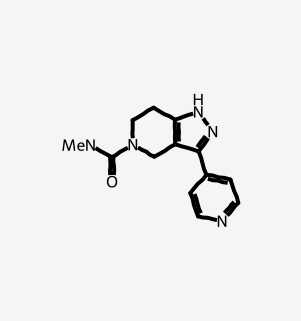 CNC(=O)N1CCc2[nH]nc(-c3ccncc3)c2C1